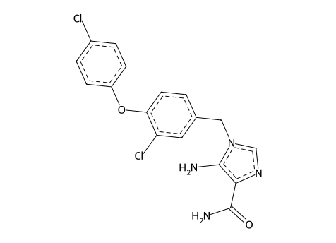 NC(=O)c1ncn(Cc2ccc(Oc3ccc(Cl)cc3)c(Cl)c2)c1N